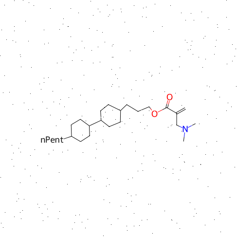 C=C(CN(C)C)C(=O)OCCCC1CCC(C2CCC(CCCCC)CC2)CC1